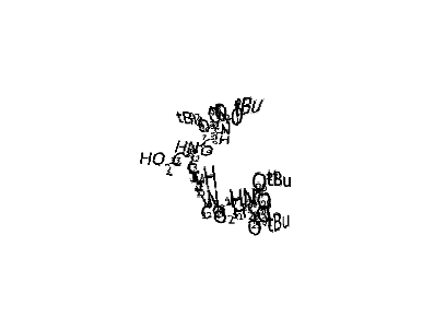 CC(C)(C)OC(=O)N[C@@H](CCC(=O)N[C@@H](CSSC[C@H](NC(=O)CC[C@H](NC(=O)OC(C)(C)C)C(=O)OC(C)(C)C)C(=O)O)C(=O)O)C(=O)OC(C)(C)C